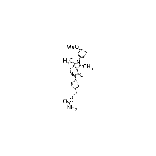 COc1cccc(-n2c(C)c3cnn(-c4ccc(CCOC(N)=O)cc4)c(=O)c3c2C)c1